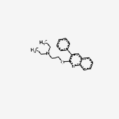 CCN(CC)CCOc1nc2ccccc2cc1-c1ccccc1